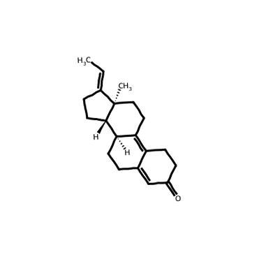 CC=C1CC[C@H]2[C@@H]3CCC4=CC(=O)CCC4=C3CC[C@]12C